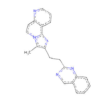 Cc1c(CCc2ncc3ccccc3n2)nc2c3cccnc3ccn12